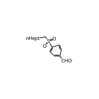 CCCCCCCCS(=O)(=O)c1ccc([C]=O)cc1